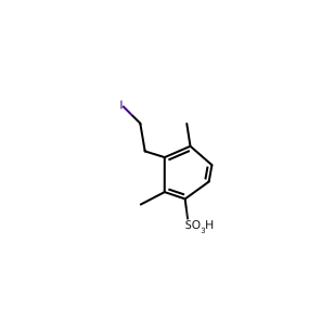 Cc1ccc(S(=O)(=O)O)c(C)c1CCI